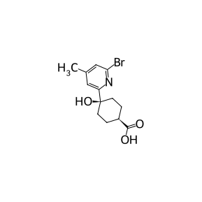 Cc1cc(Br)nc([C@]2(O)CC[C@@H](C(=O)O)CC2)c1